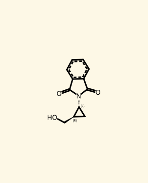 O=C1c2ccccc2C(=O)N1[C@@H]1C[C@H]1CO